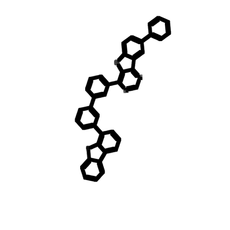 c1ccc(-c2ccc3oc4c(-c5cccc(-c6cccc(-c7cccc8c7sc7ccccc78)c6)c5)ncnc4c3c2)cc1